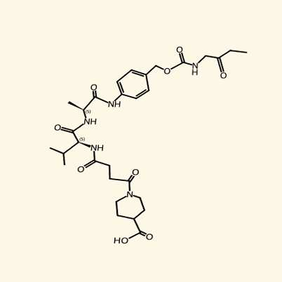 CCC(=O)CNC(=O)OCc1ccc(NC(=O)[C@H](C)NC(=O)[C@@H](NC(=O)CCC(=O)N2CCC(C(=O)O)CC2)C(C)C)cc1